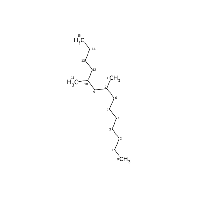 CCCCCCCC(C)[CH]C(C)CCCC